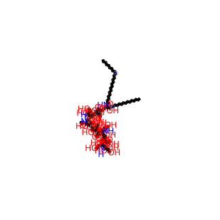 CCCCCCCC/C=C\CCCCCCCCCCCCCC(=O)N[C@@H](CO[C@@H]1OC(CO)[C@@H](O[C@@H]2OC(CO)[C@H](O)[C@H](O[C@@H]3OC(CO)[C@@H](O[C@@H]4OC(CO)[C@H](O)[C@H](O[C@]5(C(=O)O)CC(O)[C@@H](NC(=O)CO)C([C@H](O)[C@@H](CO)O[C@]6(C(=O)O)CC(O)[C@@H](NC(=O)CO)C([C@H](O)[C@H](O)CO)O6)O5)C4O)[C@H](O)C3NC(C)=O)C2O)[C@H](O)C1O)[C@H](O)/C=C/CCCCCCCCCCCCC